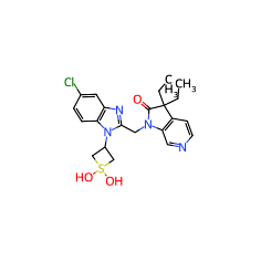 CCC1(CC)C(=O)N(Cc2nc3cc(Cl)ccc3n2C2CS(O)(O)C2)c2cnccc21